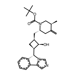 C=C1C[C@H](C[C@@H]2C[C@H]([C@H]3c4ccccc4-c4cncn43)[C@@H]2O)N(C(=O)OC(C)(C)C)C[C@H]1C